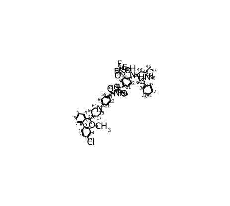 CO[C@@H](c1ccccc1-c1ccc(Cl)cc1)C1CCN(c2ccc(C(=O)NS(=O)(=O)c3ccc(NC(CSc4ccccc4)CC4CCCN4)c(S(=O)(=O)C(F)(F)F)c3)cc2)CC1